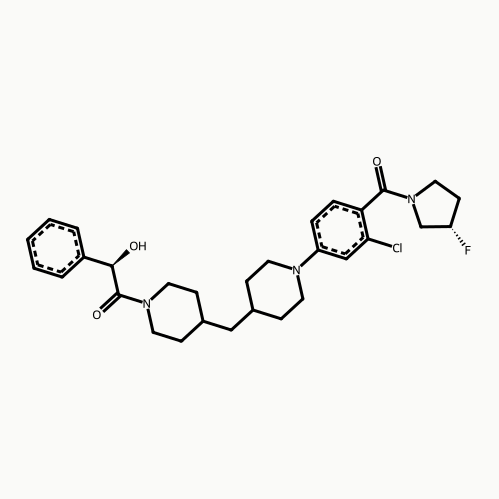 O=C(c1ccc(N2CCC(CC3CCN(C(=O)[C@H](O)c4ccccc4)CC3)CC2)cc1Cl)N1CC[C@H](F)C1